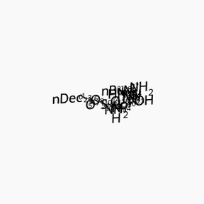 CCCCCCCCCCCCCC(=O)OCCSC[C@H](N)C(=O)Nc1ccc(Cn2c(O)nc3c(N)nc(NCCCC)nc32)cc1